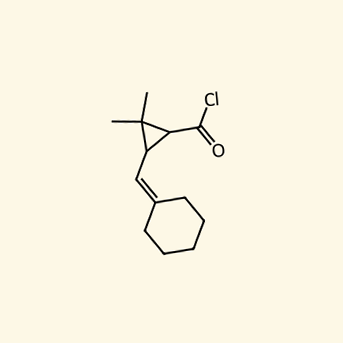 CC1(C)C(C=C2CCCCC2)C1C(=O)Cl